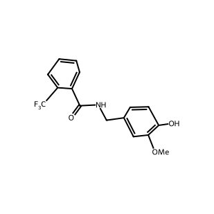 COc1cc(CNC(=O)c2ccccc2C(F)(F)F)ccc1O